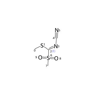 CS/C(=N\C#N)S(C)(=O)=O